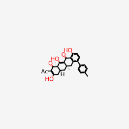 CC(=O)C1=C(O)C[C@@H]2C[C@]3(C)Cc4c(-c5ccc(C)cc5)ccc(O)c4C(=O)C3=C(O)[C@]2(C)C1=O